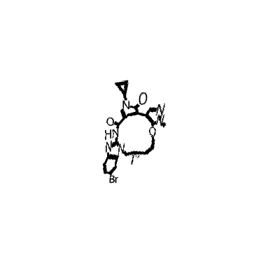 C[C@@H]1CCCOc2c(cnn2C)-c2cc(cn(C3CC3)c2=O)C(=O)Nc2nc3ccc(Br)cc3n2C1